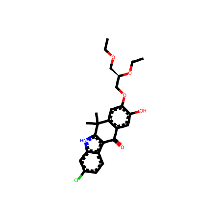 CCOC[C@H](COc1cc2c(cc1O)C(=O)c1c([nH]c3cc(Cl)ccc13)C2(C)C)OCC